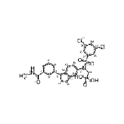 CNC(=O)c1cccc(-n2ccc3cc(N(CP(=O)(O)O)S(=O)(=O)c4cc(Cl)cc(Cl)c4)ccc32)c1